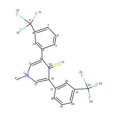 Cn1cc(-c2cccc(C(F)(F)F)c2)c(=S)c(-c2cccc(C(F)(F)F)c2)c1